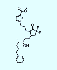 COC(=O)c1ccc(CCCN2C(=O)C(F)(F)CC2/C=C/[C@@H](O)[C@@H](C)CCCc2ccccc2)s1